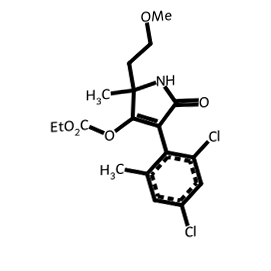 CCOC(=O)OC1=C(c2c(C)cc(Cl)cc2Cl)C(=O)NC1(C)CCOC